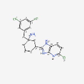 NC1(Cc2cc(Cl)cc(Cl)c2)CCCC(c2nc3nc(Cl)ccc3[nH]2)C1